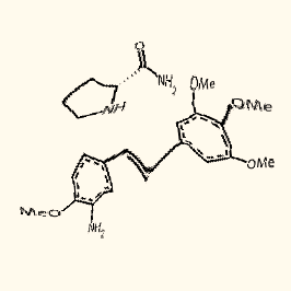 COc1ccc(C=Cc2cc(OC)c(OC)c(OC)c2)cc1N.NC(=O)[C@H]1CCCN1